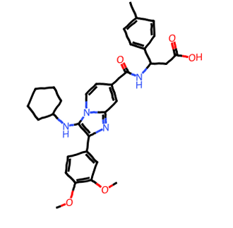 COc1ccc(-c2nc3cc(C(=O)NC(CC(=O)O)c4ccc(C)cc4)ccn3c2NC2CCCCC2)cc1OC